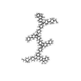 C=Cc1ccc(-c2ccc(C(Cc3ccc4c(c3)C(C)(C)c3ccccc3-4)c3ccc(-c4ccc(-n5c6ccc(-c7ccccc7)cc6c6cc(-c7ccc8c(c7)c7cc(-c9ccccc9)ccc7n8-c7ccc(-c8ccc(N(c9ccc(-c%10ccc(C=C)cc%10)cc9)c9ccc%10c(c9)C(C)(C)c9ccccc9-%10)cc8)cc7)ccc65)cc4)cc3)cc2)cc1